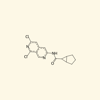 O=C(Nc1cc2cc(Cl)nc(Cl)c2cn1)C1C2CCCC21